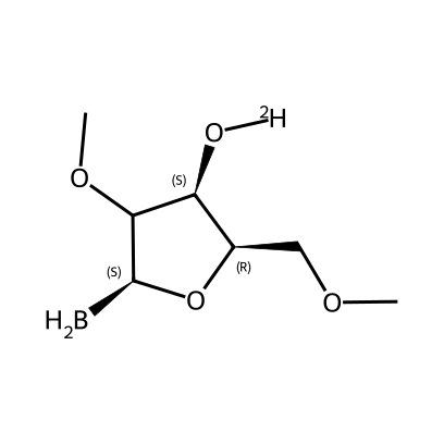 [2H]O[C@@H]1C(OC)[C@H](B)O[C@@H]1COC